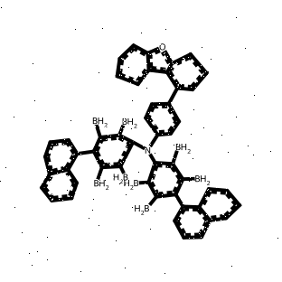 Bc1c(B)c(N(c2ccc(-c3cccc4oc5ccccc5c34)cc2)c2c(B)c(B)c(-c3cccc4ccccc34)c(B)c2B)c(B)c(B)c1-c1cccc2ccccc12